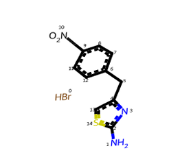 Br.Nc1nc(Cc2ccc([N+](=O)[O-])cc2)cs1